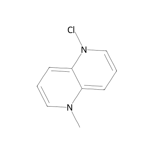 CN1C=CC=C2C1=CC=CN2Cl